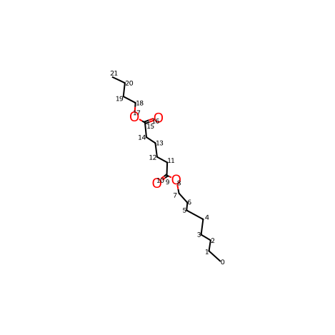 CCCCCCCCOC(=O)CCCCC(=O)OCCCC